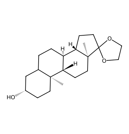 C[C@]12CC[C@H](O)CC1CC[C@@H]1[C@@H]2CC[C@@]2(C)[C@H]1CCC21OCCO1